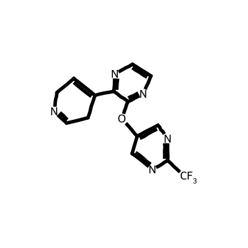 FC(F)(F)c1ncc(Oc2nccnc2C2=CCN=CC2)cn1